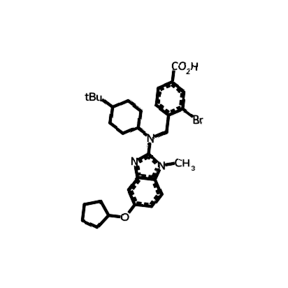 Cn1c(N(Cc2ccc(C(=O)O)cc2Br)C2CCC(C(C)(C)C)CC2)nc2cc(OC3CCCC3)ccc21